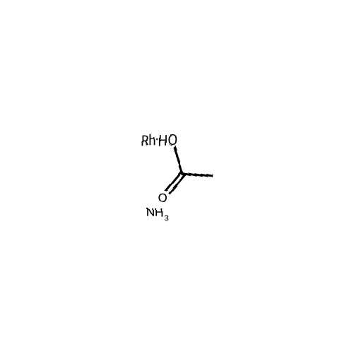 CC(=O)O.N.[Rh]